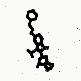 Cc1cc(-c2[nH]c3ccc(OCCN4CCOCC4)cc3c2C(C)C)cn2ncnc12